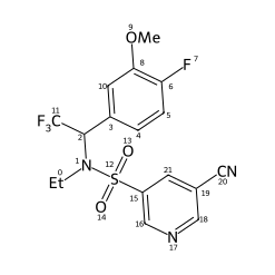 CCN(C(c1ccc(F)c(OC)c1)C(F)(F)F)S(=O)(=O)c1cncc(C#N)c1